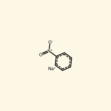 O=[N+]([O-])c1ccccc1.[Na+]